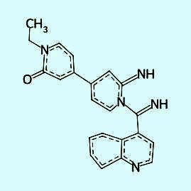 CCn1ccc(-c2ccn(C(=N)c3ccnc4ccccc34)c(=N)c2)cc1=O